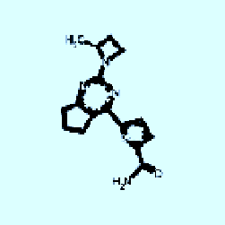 C[C@H]1CCN1c1nc2c(c(-c3ccc(C(N)=O)s3)n1)CCC2